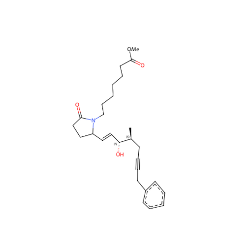 COC(=O)CCCCCCN1C(=O)CCC1C=C[C@@H](O)[C@@H](C)CC#CCc1ccccc1